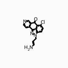 NC=CCn1nc2c3c(c(Cl)ccc31)C(=O)c1cnccc1-2